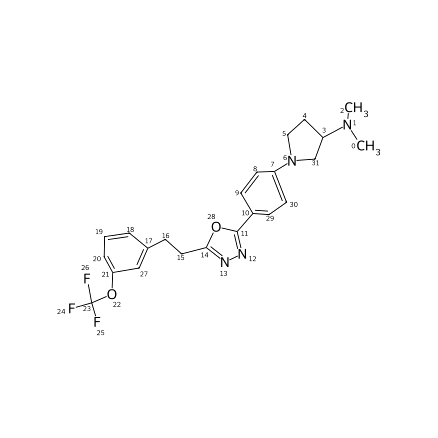 CN(C)C1CCN(c2ccc(-c3nnc(CCc4cccc(OC(F)(F)F)c4)o3)cc2)C1